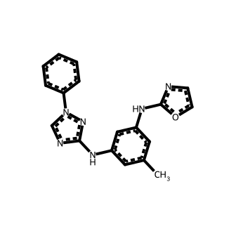 Cc1cc(Nc2ncn(-c3ccccc3)n2)cc(Nc2ncco2)c1